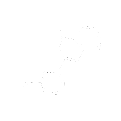 CC1CC(c2cc(N)ccn2)=Cc2ccccc21